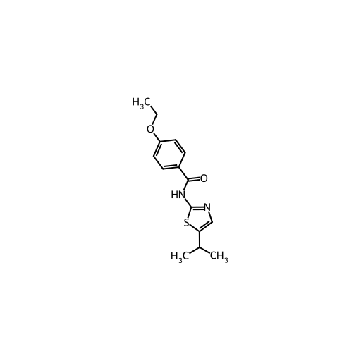 CCOc1ccc(C(=O)Nc2ncc(C(C)C)s2)cc1